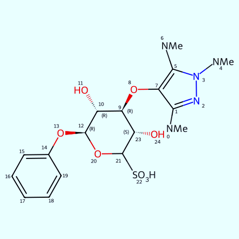 CNc1nn(NC)c(NC)c1O[C@@H]1[C@@H](O)[C@H](Oc2ccccc2)OC(S(=O)(=O)O)[C@H]1O